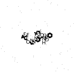 C[C@@H]1C[SiH](c2nc(-n3ccc(OCCC4(C(F)(F)F)CC4)n3)ccc2C(=O)NS(=O)(=O)c2ccccc2)C(C)(C)C1